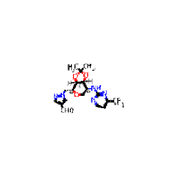 CC1(C)O[C@@H]2[C@H](O1)[C@@H](Nc1nccc(C(F)(F)F)n1)CO[C@@H]2Cn1cc(C=O)cn1